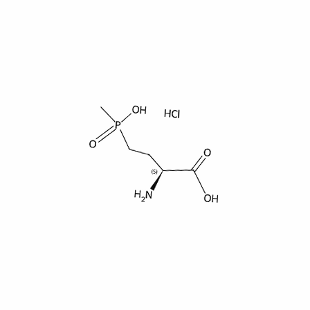 CP(=O)(O)CC[C@H](N)C(=O)O.Cl